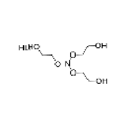 OCCON(OCCO)OCCO.[LiH]